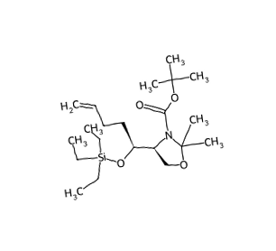 C=CCC[C@H](O[Si](CC)(CC)CC)[C@@H]1COC(C)(C)N1C(=O)OC(C)(C)C